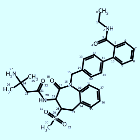 CCNC(=O)c1ccccc1-c1ccc(CN2C(=O)C(NC(=O)CC(C)(C)N)C(S(C)(=O)=O)Cc3ccccc32)cc1